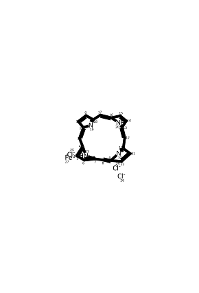 C1=Cc2cc3ccc(cc4nc(cc5ccc(cc1n2)[nH]5)C=C4)[nH]3.[Cl-].[Cl-].[Cl-].[Fe+3]